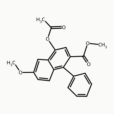 COC(=O)c1cc(OC(C)=O)c2cc(OC)ccc2c1-c1ccccc1